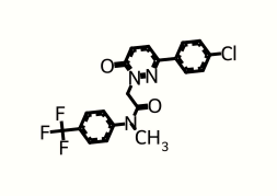 CN(C(=O)Cn1nc(-c2ccc(Cl)cc2)ccc1=O)c1ccc(C(F)(F)F)cc1